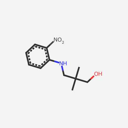 CC(C)(CO)CNc1ccccc1[N+](=O)[O-]